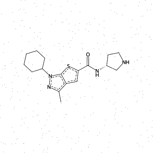 Cc1nn(C2CCCCC2)c2sc(C(=O)N[C@@H]3CCNC3)cc12